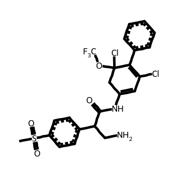 CS(=O)(=O)c1ccc(C(CN)C(=O)NC2=CC(Cl)=C(c3ccccc3)C(Cl)(OC(F)(F)F)C2)cc1